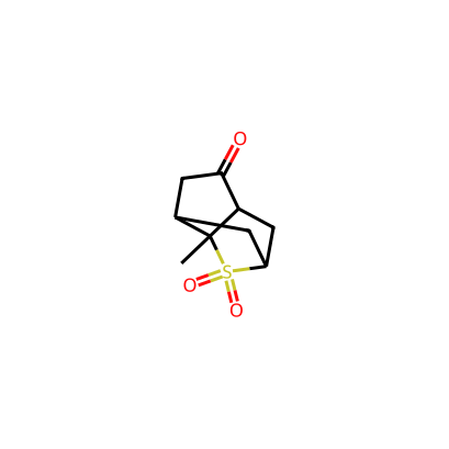 CC12C3CC(=O)C1CC(C3)S2(=O)=O